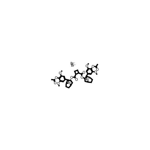 COc1cc(C[N+]2(C)C3CCC2CC(OC(=O)C2CCC2C(=O)O[C@H]2CC4CCC(C2)[N@@+]4(C)Cc2cc(OC)c(OC(C)=O)c(OC)c2)C3)cc(OC)c1OC(C)=O.[Br-].[Br-]